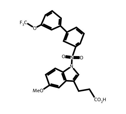 COc1ccc2c(c1)c(CCC(=O)O)cn2S(=O)(=O)c1cccc(-c2cccc(OC(F)(F)F)c2)c1